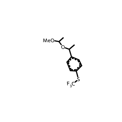 COC(C)OC(C)c1ccc(SC(F)(F)F)cc1